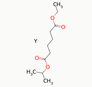 CCOC(=O)CCCCC(=O)OC(C)C.[Y]